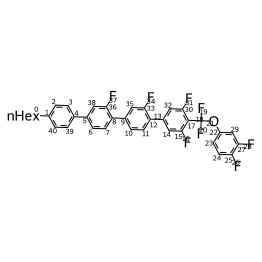 CCCCCCc1ccc(-c2ccc(-c3ccc(-c4cc(F)c(C(F)(F)Oc5ccc(F)c(F)c5)c(F)c4)c(F)c3)c(F)c2)cc1